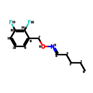 CCCC/[C]=N/OCc1cccc(F)c1F